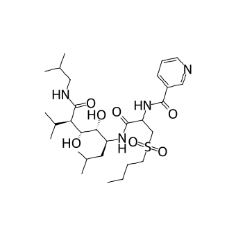 CCCCS(=O)(=O)CC(NC(=O)c1cccnc1)C(=O)N[C@@H](CC(C)C)[C@@H](O)[C@H](O)[C@H](C(=O)NCC(C)C)C(C)C